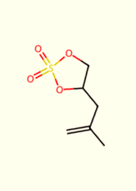 C=C(C)CC1COS(=O)(=O)O1